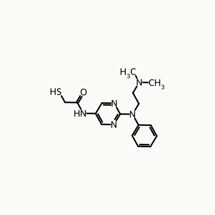 CN(C)CCN(c1ccccc1)c1ncc(NC(=O)CS)cn1